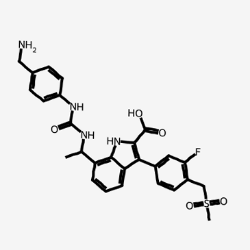 CC(NC(=O)Nc1ccc(CN)cc1)c1cccc2c(-c3ccc(CS(C)(=O)=O)c(F)c3)c(C(=O)O)[nH]c12